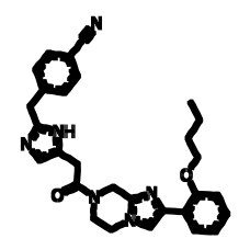 CCCCOc1ccccc1-c1cn2c(n1)CN(C(=O)Cc1cnc(Cc3ccc(C#N)cc3)[nH]1)CC2